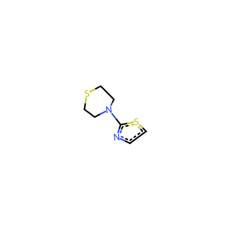 c1csc(N2CCSCC2)n1